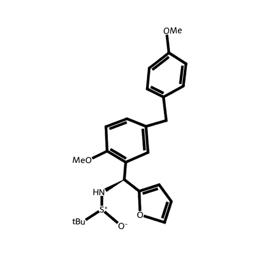 COc1ccc(Cc2ccc(OC)c([C@H](N[S+]([O-])C(C)(C)C)c3ccco3)c2)cc1